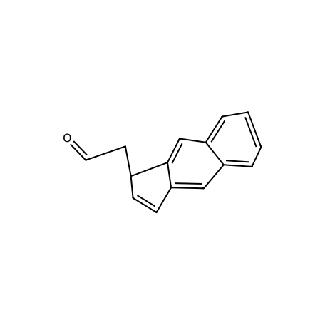 O=CCC1C=Cc2cc3ccccc3cc21